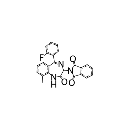 Cc1cccc2c1NC(=O)C(N1C(=O)c3ccccc3C1=O)N=C2c1ccccc1F